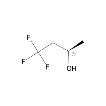 C[C@@H](O)CC(F)(F)F